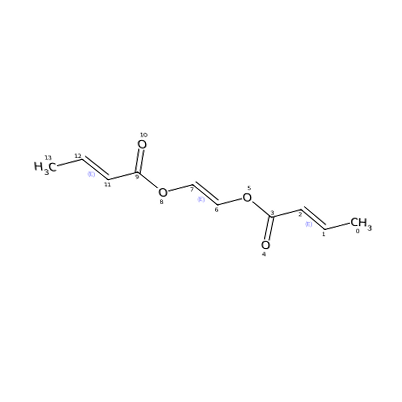 C/C=C/C(=O)O/C=C/OC(=O)/C=C/C